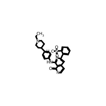 CCN1CCC(c2ccc(Nc3nc(-c4ccccc4S(C)(=O)=O)cc4c3C(=O)[N]C=C4)cc2)CC1